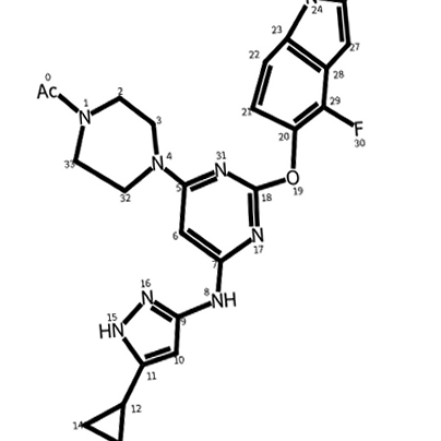 CC(=O)N1CCN(c2cc(Nc3cc(C4CC4)[nH]n3)nc(Oc3ccc4[nH]c(C)cc4c3F)n2)CC1